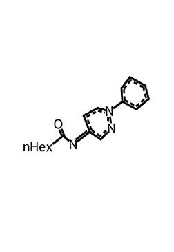 CCCCCCC(=O)N=c1ccn(-c2ccccc2)nc1